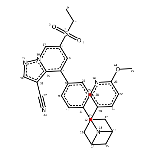 CCS(=O)(=O)c1cc(-c2ccc(N3CC4CC(C3)N4Cc3ccc(OC)nc3)nc2)c2c(C#N)cnn2c1